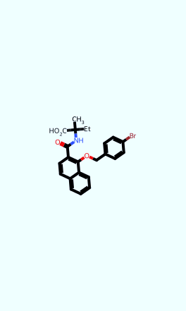 CCC(C)(NC(=O)c1ccc2ccccc2c1OCc1ccc(Br)cc1)C(=O)O